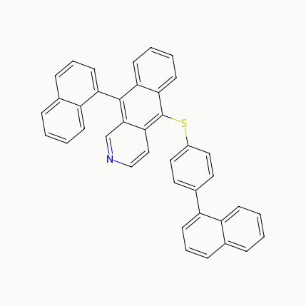 c1ccc2c(-c3ccc(Sc4c5ccccc5c(-c5cccc6ccccc56)c5cnccc45)cc3)cccc2c1